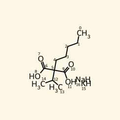 CCCCCC(C(=O)O)(C(=O)O)C(C)C.[KH].[NaH]